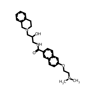 CN(C)CCOc1ccc2cc(C(=O)NCC(O)CN3CCc4ccccc4C3)ccc2c1